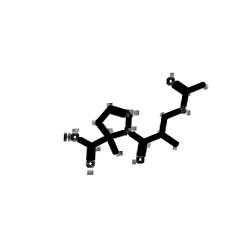 CC(=O)SCC(C)C(=O)N1N=CCC1(C)C(=O)O